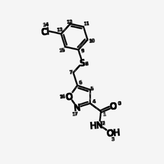 O=C(NO)c1cc(CSc2cccc(Cl)c2)on1